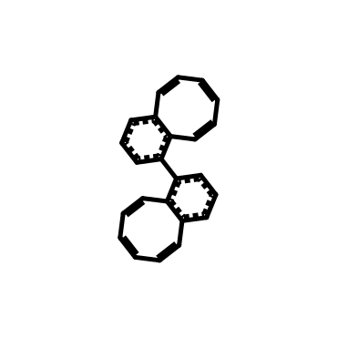 C1=CC=Cc2c(cccc2-c2cccc3c2C=CC=CC=C3)C=C1